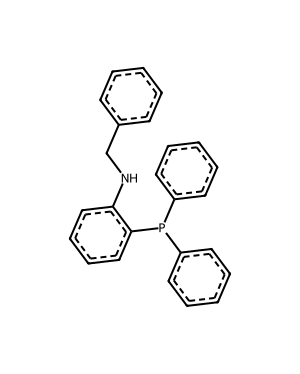 c1ccc(CNc2ccccc2P(c2ccccc2)c2ccccc2)cc1